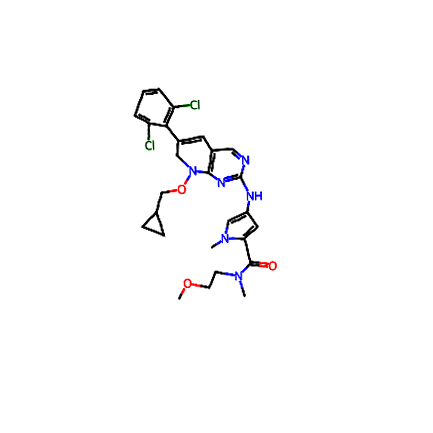 COCCN(C)C(=O)c1cc(Nc2ncc3c(n2)N(OCC2CC2)CC(c2c(Cl)cccc2Cl)=C3)cn1C